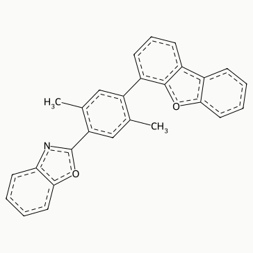 Cc1cc(-c2cccc3c2oc2ccccc23)c(C)cc1-c1nc2ccccc2o1